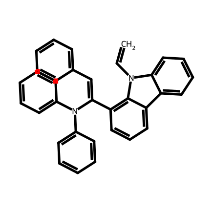 C=Cn1c2ccccc2c2cccc(C(=Cc3ccccc3)N(c3ccccc3)c3ccccc3)c21